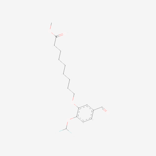 COC(=O)CCCCCCCCOc1cc(C=O)ccc1OC(F)F